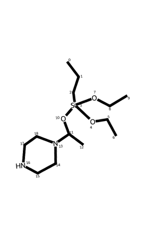 CCC[Si](OCC)(OCC)OC(C)N1CCNCC1